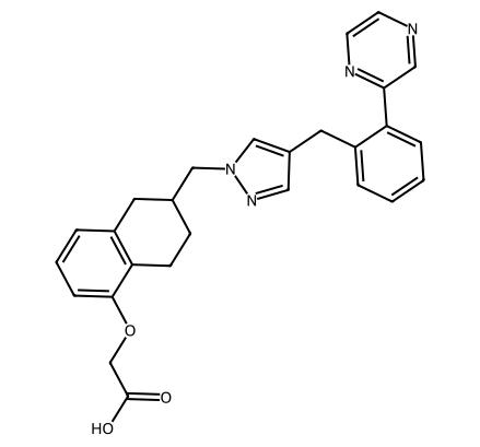 O=C(O)COc1cccc2c1CCC(Cn1cc(Cc3ccccc3-c3cnccn3)cn1)C2